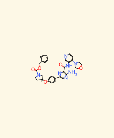 Nc1ncc(-c2ccc(O[C@@H]3CCN(C(=O)OCc4ccccc4)C3)cc2)nc1C(=O)Nc1cnccc1N1CCOCC1